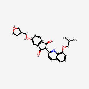 CCCCC(CC)COc1cccc2ccc(C3C(=O)c4ccc(OCC5CCOC5)cc4C3=O)nc12